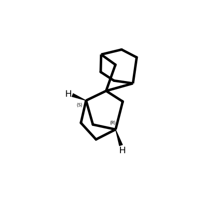 C1CC2CCC1CC21C[C@@H]2CC[C@H]1C2